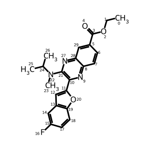 CCOC(=O)c1ccc2nc(-c3cc4cc(F)ccc4o3)c(N(C)C(C)C)nc2c1